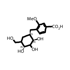 COc1cc(C(=O)O)ccc1C[C@@H]1CC(CO)[C@@H](O)C(O)[C@@H]1O